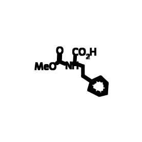 COC(=O)NC(CCc1ccccc1)C(=O)O